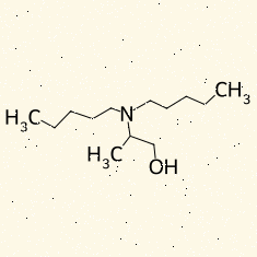 CCCCCN(CCCCC)C(C)CO